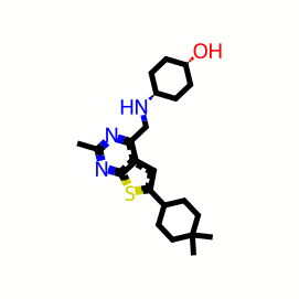 Cc1nc(CN[C@H]2CC[C@@H](O)CC2)c2cc(C3CCC(C)(C)CC3)sc2n1